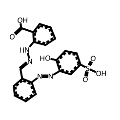 O=C(O)c1ccccc1NN=Cc1ccccc1N=Nc1cc(S(=O)(=O)O)ccc1O